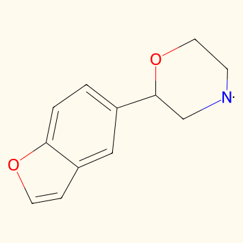 c1cc2cc(C3C[N]CCO3)ccc2o1